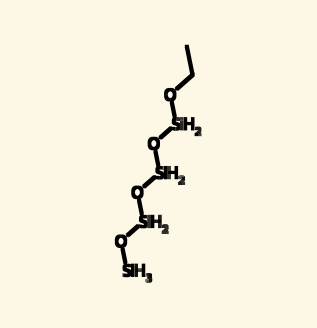 CCO[SiH2]O[SiH2]O[SiH2]O[SiH3]